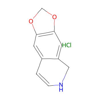 C1=Cc2cc3c(cc2CN1)OCO3.Cl